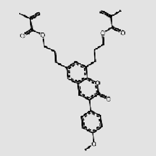 C=C(C)C(=O)OCCCc1cc(CCCOC(=O)C(=C)C)c2oc(=O)c(-c3ccc(OC)cc3)cc2c1